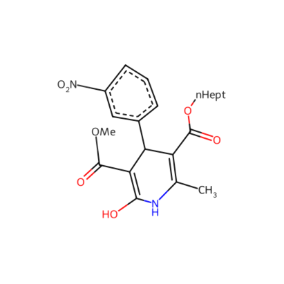 CCCCCCCOC(=O)C1=C(C)NC(O)=C(C(=O)OC)C1c1cccc([N+](=O)[O-])c1